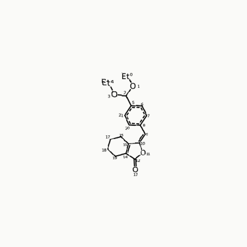 CCOC(OCC)c1ccc(/C=C2/OC(=O)C3=C2CCCC3)cc1